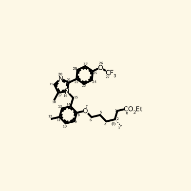 CCOC(=O)C[C@H](C)CCCOc1ccc(C)cc1Cn1c(C)cnc1-c1ccc(OC(F)(F)F)cc1